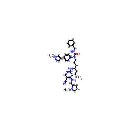 CCCC(CCCN(C(=O)NCc1ccccc1)c1ccc(-c2cnn(C)c2)cn1)Nc1ncc(C#N)c(NCC2CCCN2C)n1